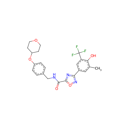 Cc1cc(-c2noc(C(=O)NCc3ccc(OC4CCOCC4)cc3)n2)cc(C(F)(F)F)c1O